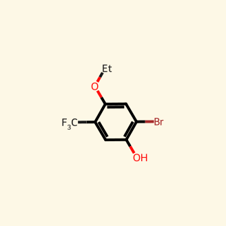 CCOc1cc(Br)c(O)cc1C(F)(F)F